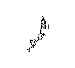 CCn1c(C#CCNc2ccc(Cl)cc2)cc2cc(CNC3CCN(CCSC)CC3)ccc21